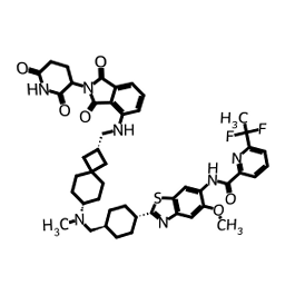 COc1cc2nc([C@H]3CC[C@H](CN(C)[C@H]4CCC5(CC4)C[C@@H](CNc4cccc6c4C(=O)N(C4CCC(=O)NC4=O)C6=O)C5)CC3)sc2cc1NC(=O)c1cccc(C(C)(F)F)n1